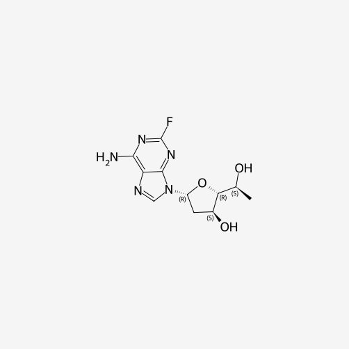 C[C@H](O)[C@H]1O[C@@H](n2cnc3c(N)nc(F)nc32)C[C@@H]1O